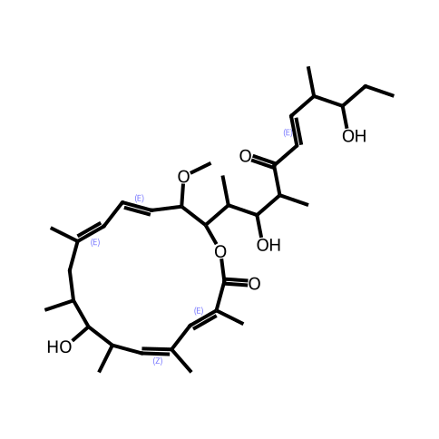 CCC(O)C(C)/C=C/C(=O)C(C)C(O)C(C)C1OC(=O)/C(C)=C/C(C)=C\C(C)C(O)C(C)C/C(C)=C/C=C/C1OC